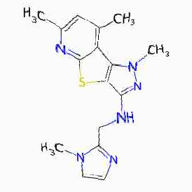 Cc1cc(C)c2c(n1)sc1c(NCc3nccn3C)nn(C)c12